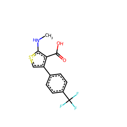 CNc1scc(-c2ccc(C(F)(F)F)cc2)c1C(=O)O